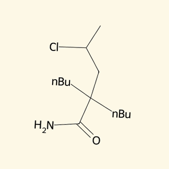 CCCCC(CCCC)(CC(C)Cl)C(N)=O